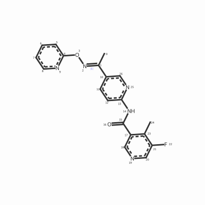 C/C(=N\Oc1ccccn1)c1ccc(NC(=O)c2cncc(F)c2C)nc1